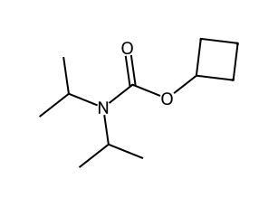 CC(C)N(C(=O)OC1CCC1)C(C)C